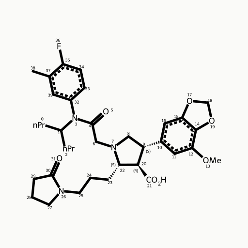 CCCC(CCC)N(C(=O)CN1C[C@H](c2cc(OC)c3c(c2)OCO3)[C@@H](C(=O)O)[C@@H]1CCCN1CCCC1=O)c1ccc(F)c(C)c1